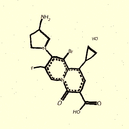 Cl.NC1CCN(c2c(F)cn3c(=O)c(C(=O)O)cc(C4CC4)c3c2Br)C1